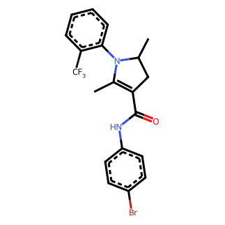 CC1=C(C(=O)Nc2ccc(Br)cc2)CC(C)N1c1ccccc1C(F)(F)F